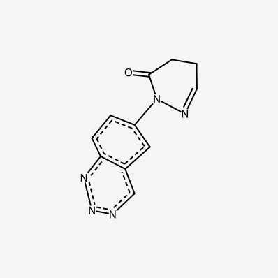 O=C1CCC=NN1c1ccc2nnncc2c1